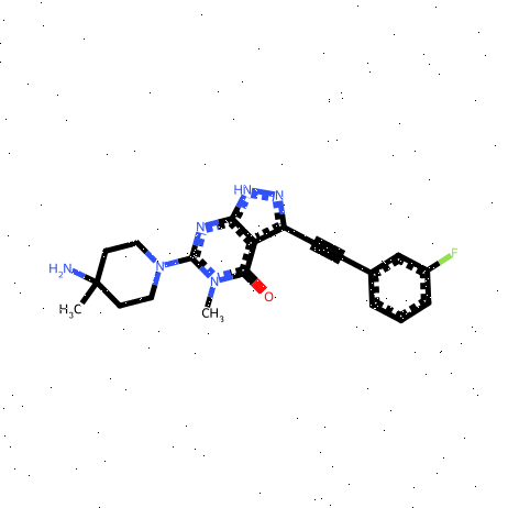 Cn1c(N2CCC(C)(N)CC2)nc2[nH]nc(C#Cc3cccc(F)c3)c2c1=O